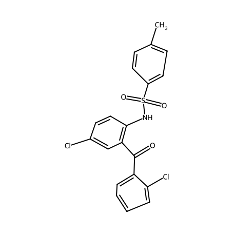 Cc1ccc(S(=O)(=O)Nc2ccc(Cl)cc2C(=O)c2ccccc2Cl)cc1